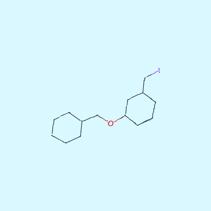 ICC1CCCC(OCC2CCCCC2)C1